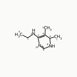 CCNC1=C(C)C(C)NC=N1